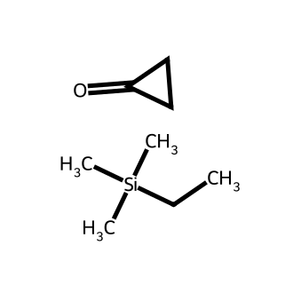 CC[Si](C)(C)C.O=C1CC1